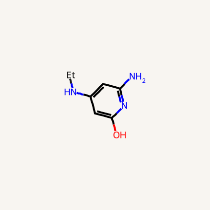 CCNc1cc(N)nc(O)c1